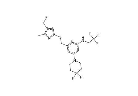 Cc1nc(SCc2cc(N3CCC(F)(F)CC3)cc(NCC(F)(F)F)n2)nn1CF